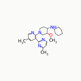 CO[C@H]1CN(c2ncc(C)cc2-c2nccc(C)n2)CCC1NC1CCCCC1